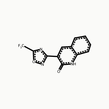 O=c1[nH]c2ccccc2cc1-c1noc(C(F)(F)F)n1